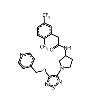 O=C(Cc1cc(C(F)(F)F)ccc1C(F)(F)F)NC1CCN(c2nsnc2OCc2ccncc2)C1